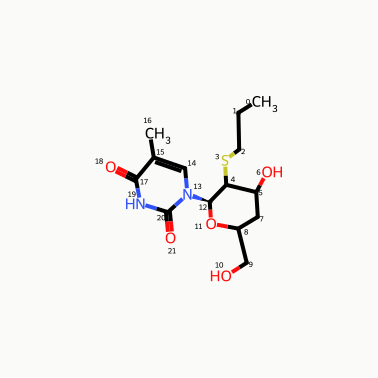 CCCSC1C(O)CC(CO)O[C@H]1n1cc(C)c(=O)[nH]c1=O